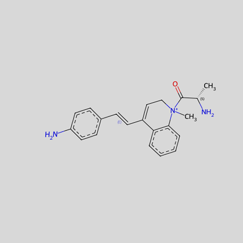 C[C@H](N)C(=O)[N+]1(C)CC=C(/C=C/c2ccc(N)cc2)c2ccccc21